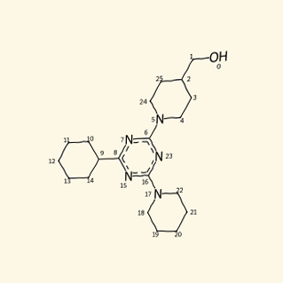 OCC1CCN(c2nc(C3CCCCC3)nc(N3CCCCC3)n2)CC1